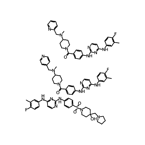 Cc1cc(Nc2ccnc(Nc3ccc(C(=O)N4CCC(N(C)Cc5ccccn5)CC4)cc3)n2)ccc1F.Cc1cc(Nc2ccnc(Nc3ccc(C(=O)N4CCC(N(C)Cc5ccncc5)CC4)cc3)n2)ccc1F.Cc1cc(Nc2ccnc(Nc3ccc(S(=O)(=O)N4CCC(O)(CN5CCCC5)CC4)cc3)n2)ccc1F